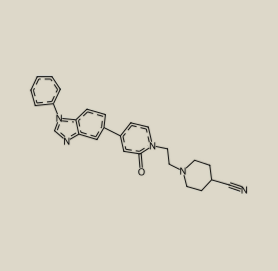 N#CC1CCN(CCn2ccc(-c3ccc4c(c3)ncn4-c3ccccc3)cc2=O)CC1